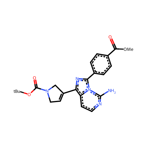 COC(=O)c1ccc(-c2nc(C3=CCN(C(=O)OC(C)(C)C)C3)c3ccnc(N)n23)cc1